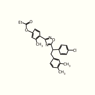 CCC(=O)Oc1ccc(-c2noc(C(Cc3ccc(C)c(C)c3)c3ccc(Cl)cc3)n2)c(C)c1